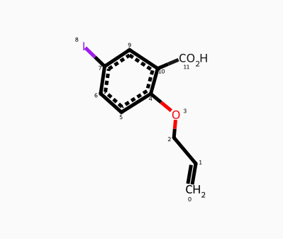 C=CCOc1ccc(I)cc1C(=O)O